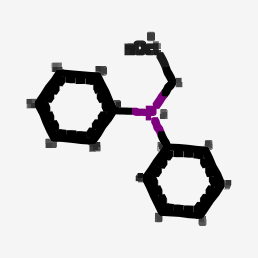 CCCCCCCCCP(c1ccccc1)c1ccccc1